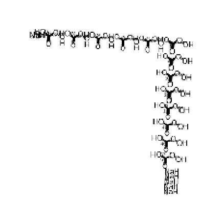 O=C(O)OO.O=C(O)OO.O=C(O)OO.O=C(O)OO.O=C(O)OO.O=C(O)OO.O=C(O)OO.O=C(O)OO.O=C(O)OO.O=C(O)OO.O=C(O)OO.O=C(O)OO.O=C(O)OO.[NaH].[NaH].[NaH].[NaH].[NaH].[NaH].[NaH]